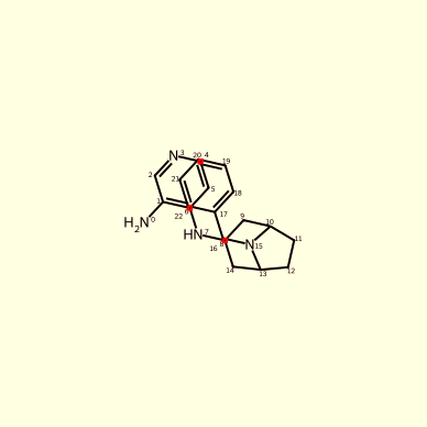 Nc1cnccc1NC1CC2CCC(C1)N2Cc1ccccc1